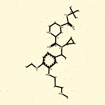 CCOc1ccc(C(C)N(C(=O)C2CN(C(=O)OC(C)(C)C)CCO2)C2CC2)cc1OCCCOC